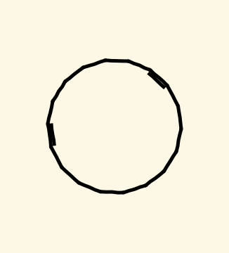 C1=CCCCCCCCCCC=CCCCCC1